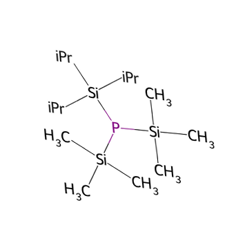 CC(C)[Si](C(C)C)(C(C)C)P([Si](C)(C)C)[Si](C)(C)C